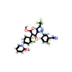 COC(=O)C(C(=O)c1cc(C(F)(F)F)nn1-c1ccc(F)c(C#N)c1)c1ccc(-n2ccccc2=O)cc1F